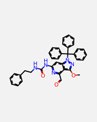 COc1nn(C(c2ccccc2)(c2ccccc2)c2ccccc2)c2cc(NC(=O)NCCc3ccccc3)nc(C=O)c12